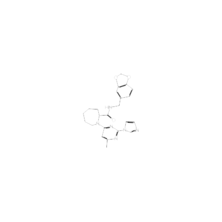 Cc1cc(N2CCCCCC2C(=O)NCc2ccc3c(c2)OCO3)nc(-n2ccnc2)n1